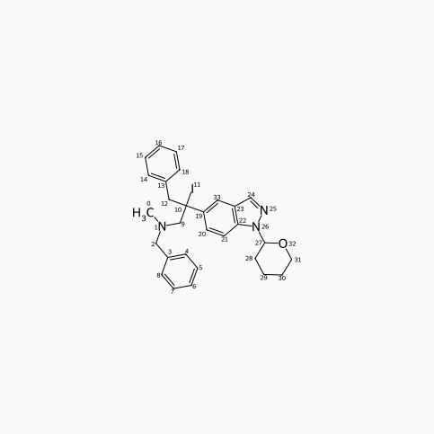 CN(Cc1ccccc1)CC(I)(Cc1ccccc1)c1ccc2c(cnn2C2CCCCO2)c1